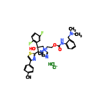 C[C@@H](c1nc(-c2ccc(C#N)cc2)cs1)[C@](O)(C[N+]1(CCOC(=O)Nc2ccccc2CN(C)C)C=NC=N1)c1cc(F)ccc1F.Cl.[Cl-]